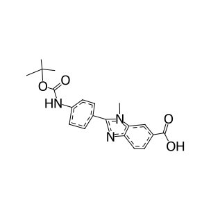 Cn1c(-c2ccc(NC(=O)OC(C)(C)C)cc2)nc2ccc(C(=O)O)cc21